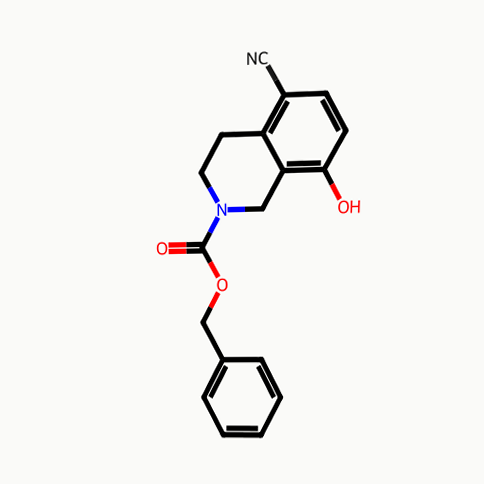 N#Cc1ccc(O)c2c1CCN(C(=O)OCc1ccccc1)C2